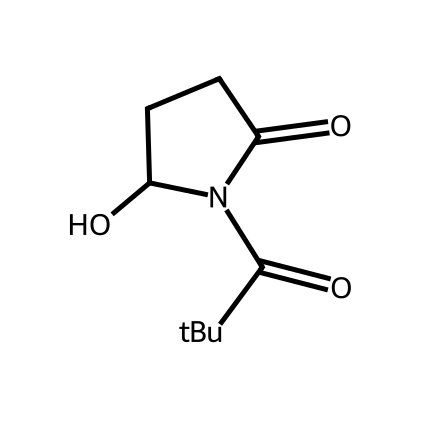 CC(C)(C)C(=O)N1C(=O)CCC1O